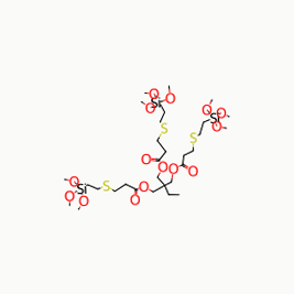 CCC(COC(=O)CCSCC[Si](OC)(OC)OC)(COC(=O)CCSCC[Si](OC)(OC)OC)COC(=O)CCSCC[Si](OC)(OC)OC